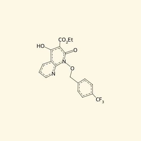 CCOC(=O)c1c(O)c2cccnc2n(OCc2ccc(C(F)(F)F)cc2)c1=O